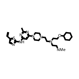 C=Cc1cnc(Nc2cc(N3CCN(CCN(CCNC)CCOC4CCCCC4)CC3)nc(C)n2)s1